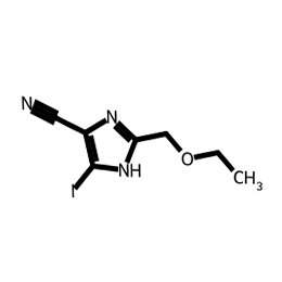 CCOCc1nc(C#N)c(I)[nH]1